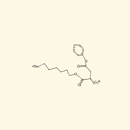 CCCCCCCCCCCCCCCCOC(=O)C(CC(=O)Oc1ccccc1)S(=O)(=O)O